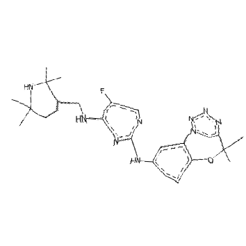 CC1(C)CC(CNc2nc(Nc3ccc4c(c3)-n3nnnc3C(C)(C)O4)ncc2F)C(C)(C)N1